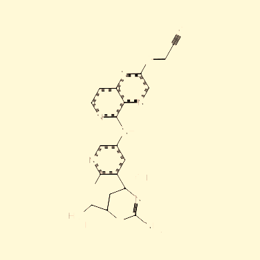 C#CCOc1cnc2c(Nc3cnc(F)c([C@]4(C)C[C@](C)(CO)SC(N)=N4)c3)nccc2n1